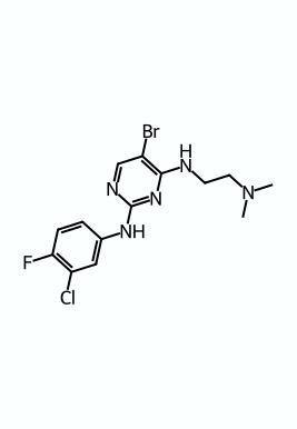 CN(C)CCNc1nc(Nc2ccc(F)c(Cl)c2)ncc1Br